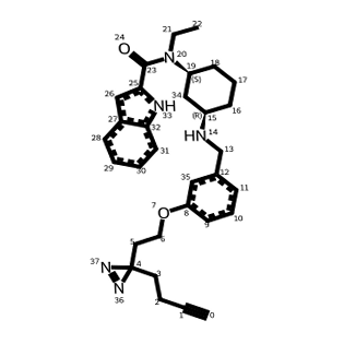 C#CCCC1(CCOc2cccc(CN[C@@H]3CCC[C@H](N(CC)C(=O)c4cc5ccccc5[nH]4)C3)c2)N=N1